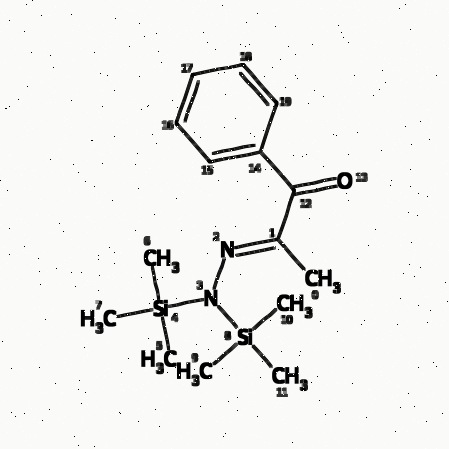 CC(=NN([Si](C)(C)C)[Si](C)(C)C)C(=O)c1ccccc1